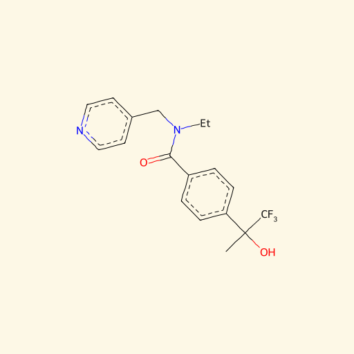 CCN(Cc1ccncc1)C(=O)c1ccc(C(C)(O)C(F)(F)F)cc1